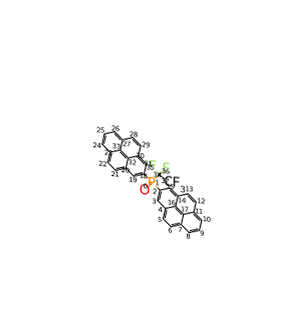 O=P(c1cc2ccc3cccc4ccc(c1)c2c34)(c1cc2ccc3cccc4ccc(c1)c2c34)C(F)(F)C(F)(F)F